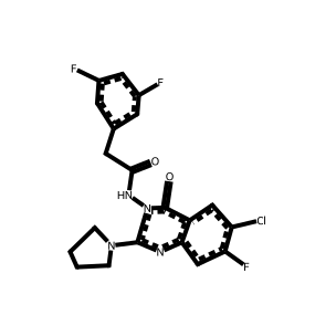 O=C(Cc1cc(F)cc(F)c1)Nn1c(N2CCCC2)nc2cc(F)c(Cl)cc2c1=O